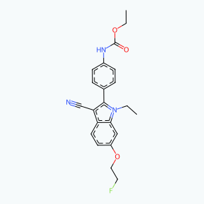 CCOC(=O)Nc1ccc(-c2c(C#N)c3ccc(OCCF)cc3n2CC)cc1